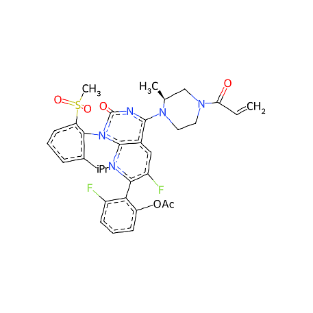 C=CC(=O)N1CCN(c2nc(=O)n(-c3c(C(C)C)cccc3S(C)(=O)=O)c3nc(-c4c(F)cccc4OC(C)=O)c(F)cc23)[C@@H](C)C1